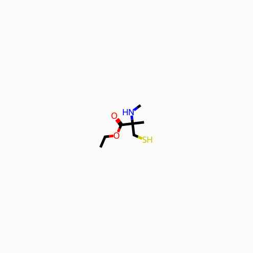 CCOC(=O)C(C)(CS)NC